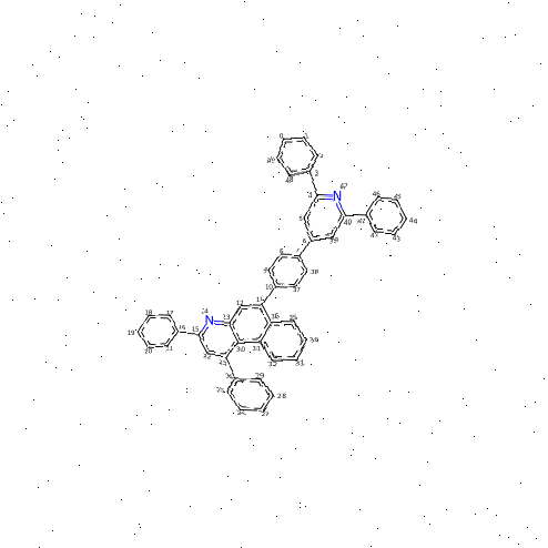 c1ccc(-c2cc(-c3ccc(-c4cc5nc(-c6ccccc6)cc(-c6ccccc6)c5c5ccccc45)cc3)cc(-c3ccccc3)n2)cc1